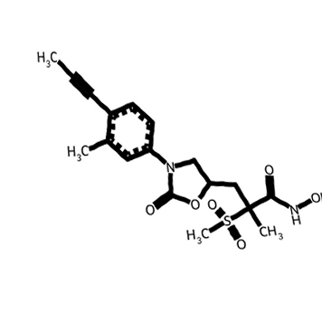 CC#Cc1ccc(N2CC(CC(C)(C(=O)NO)S(C)(=O)=O)OC2=O)cc1C